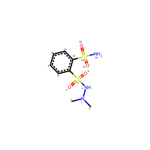 CN(C)NS(=O)(=O)c1ccccc1S(N)(=O)=O